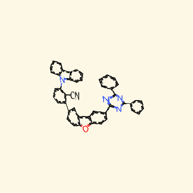 N#Cc1c(-c2ccc3oc4ccc(-c5nc(-c6ccccc6)nc(-c6ccccc6)n5)cc4c3c2)cccc1-n1c2ccccc2c2ccccc21